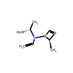 C=CN(B1C=B[C@H]1C)[C@@H](C)NC